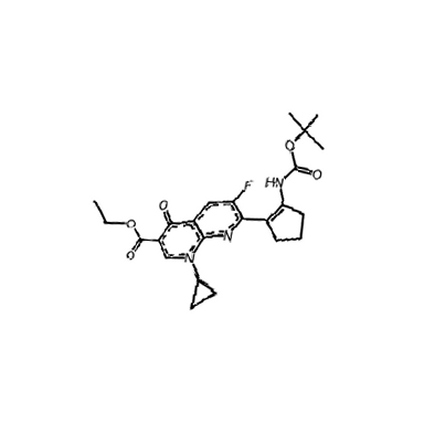 CCOC(=O)c1cn(C2CC2)c2nc(C3=C(NC(=O)OC(C)(C)C)CCC3)c(F)cc2c1=O